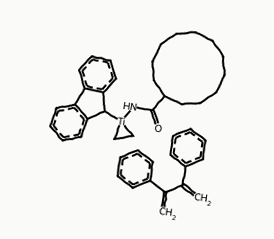 C=C(C(=C)c1ccccc1)c1ccccc1.O=C([NH][Ti]1([CH]2c3ccccc3-c3ccccc32)[CH2][CH2]1)C1CCCCCCCCCCC1